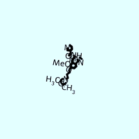 COc1c(OCCCN2CC(C)O[C@@H](C)C2)ccc2c1N=C(NC(=O)c1cccnc1)N1CCN=C21